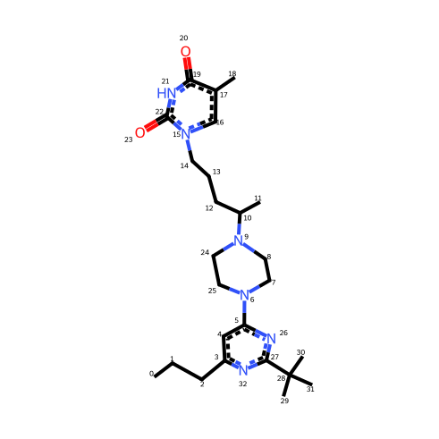 CCCc1cc(N2CCN(C(C)CCCn3cc(C)c(=O)[nH]c3=O)CC2)nc(C(C)(C)C)n1